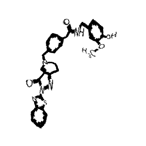 COc1cc(CNC(=O)c2ccc(CN3C=C4C(=O)N(c5nc6ccccc6s5)N=C4CC3)cc2)ccc1O